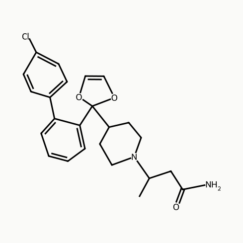 CC(CC(N)=O)N1CCC(C2(c3ccccc3-c3ccc(Cl)cc3)OC=CO2)CC1